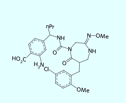 CCCC(NC(=O)N1C/C(=N/OC)NCC(Cc2cc(Cl)ccc2OC)C1=O)c1ccc(C(=O)O)c(N)c1